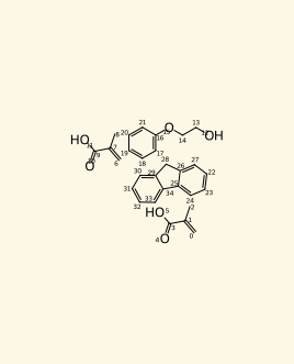 C=C(C)C(=O)O.C=C(C)C(=O)O.OCCOc1ccccc1.c1ccc2c(c1)Cc1ccccc1-2